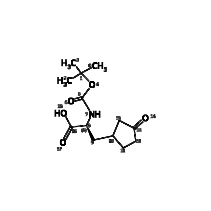 CC(C)(C)OC(=O)N[C@@H](CC1CCC(=O)C1)C(=O)O